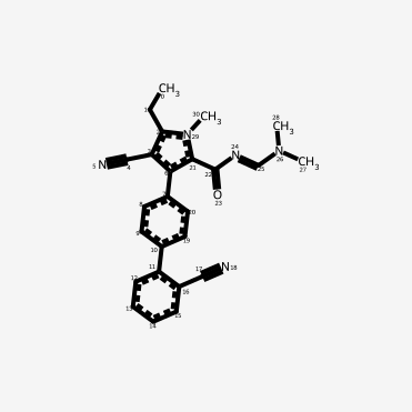 CCc1c(C#N)c(-c2ccc(-c3ccccc3C#N)cc2)c(C(=O)/N=C/N(C)C)n1C